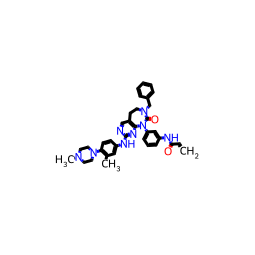 C=CC(=O)Nc1cccc(N2C(=O)N(Cc3ccccc3)CCc3cnc(Nc4ccc(N5CCN(C)CC5)c(C)c4)nc32)c1